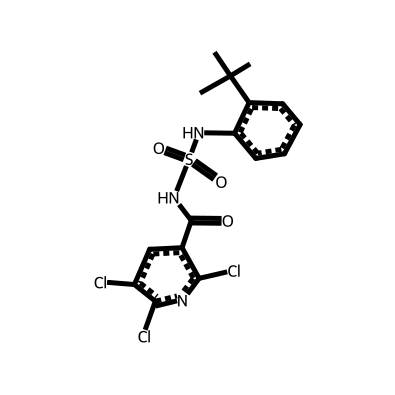 CC(C)(C)c1ccccc1NS(=O)(=O)NC(=O)c1cc(Cl)c(Cl)nc1Cl